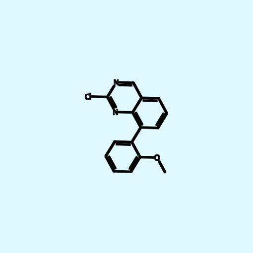 COc1ccccc1-c1cccc2cnc(Cl)nc12